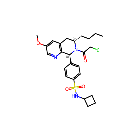 CCCC[C@H]1Cc2cc(OC)cnc2[C@H](c2ccc(S(=O)(=O)NC3CCC3)cc2)N1C(=O)CCl